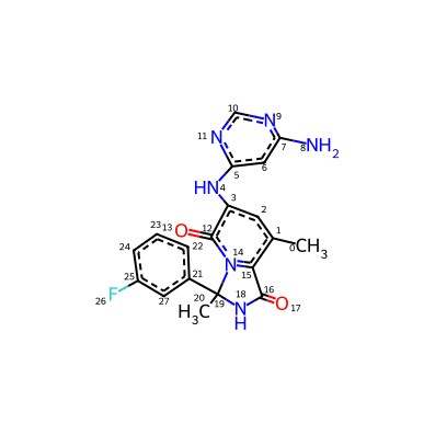 Cc1cc(Nc2cc(N)ncn2)c(=O)n2c1C(=O)NC2(C)c1cccc(F)c1